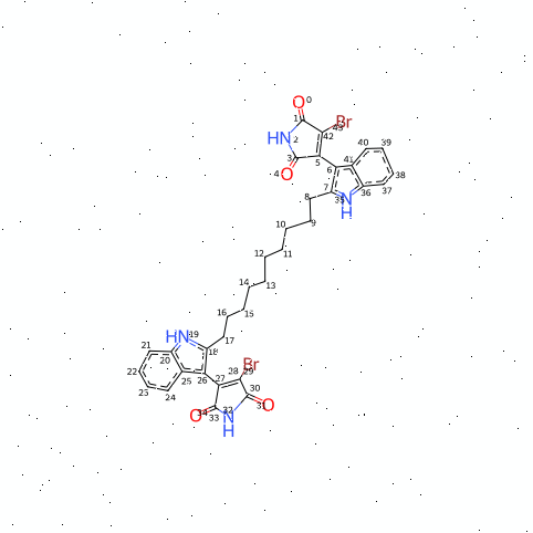 O=C1NC(=O)C(c2c(CCCCCCCCCCc3[nH]c4ccccc4c3C3=C(Br)C(=O)NC3=O)[nH]c3ccccc23)=C1Br